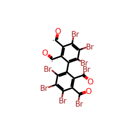 O=[C]c1c(Br)c(Br)c(Br)c(-c2c(Br)c(Br)c(Br)c(C(=O)Br)c2C(=O)Br)c1[C]=O